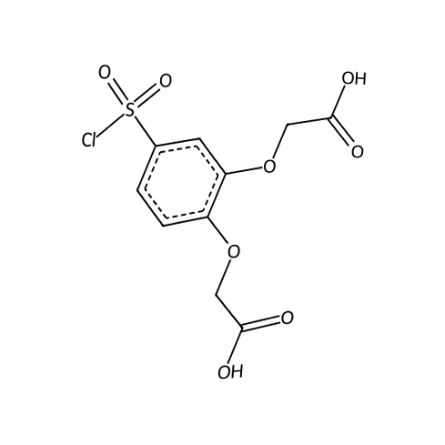 O=C(O)COc1ccc(S(=O)(=O)Cl)cc1OCC(=O)O